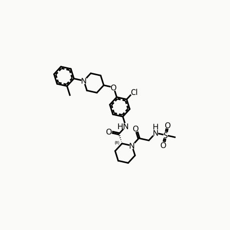 Cc1ccccc1N1CCC(Oc2ccc(NC(=O)[C@H]3CCCCN3C(=O)CNS(C)(=O)=O)cc2Cl)CC1